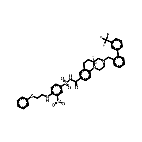 O=C(NS(=O)(=O)c1ccc(NCCSc2ccccc2)c([N+](=O)[O-])c1)c1ccc2c(c1)CC[C@H]1CN(Cc3ccccc3-c3cccc(C(F)(F)F)c3)CCN21